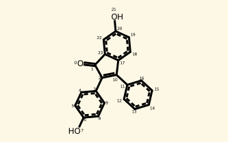 O=C1C(c2ccc(O)cc2)=C(c2ccccc2)c2ccc(O)cc21